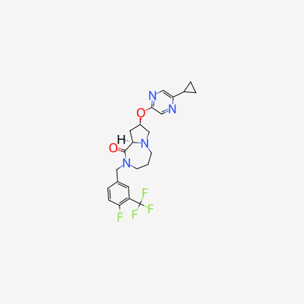 O=C1[C@H]2C[C@@H](Oc3cnc(C4CC4)cn3)CN2CCCN1Cc1ccc(F)c(C(F)(F)F)c1